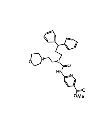 COC(=O)c1ccc(NC(=O)N(CCC(c2ccccc2)c2ccccc2)CCN2CCOCC2)nc1